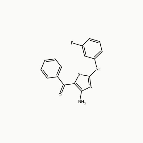 Nc1nc(Nc2cccc(F)c2)sc1C(=O)c1ccccc1